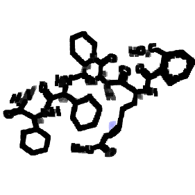 COC(=O)/C=C/CC[C@H](NC(=O)c1ccccc1C(=O)O)C(=O)N[C@H](C(=O)N1CCCC[C@H]1C(=O)N[C@H](C(=O)N[C@H](C(N)=O)C1CCCCC1)C1CCCCC1)C(C)(C)C